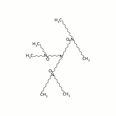 CCCCCCCCCCN(CCCCCCCCCC)C(=O)CCCCCCCN(CCCCCCCC(=O)N(CCCCCCCCCC)CCCCCCCCCC)CCCCCC(=O)N(CCCCCC)CCCCCC